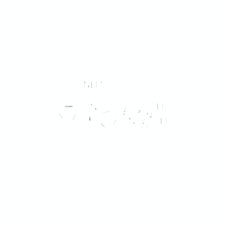 CC(=O)NC1Cc2ccccc2-c2c(C3CCCCC3)c3ccc(C(=O)NS(=O)(=O)N(C)C)cc3n2C1